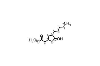 CCCCCC1CC(CC(=O)OC)CC1O